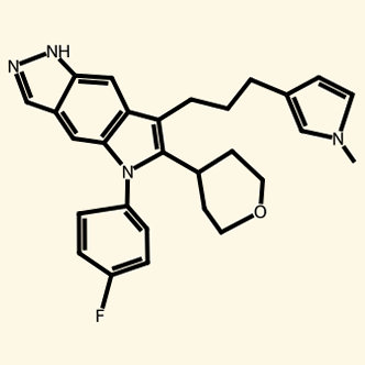 Cn1ccc(CCCc2c(C3CCOCC3)n(-c3ccc(F)cc3)c3cc4cn[nH]c4cc23)c1